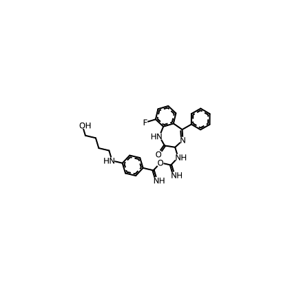 N=C(NC1N=C(c2ccccc2)c2cccc(F)c2NC1=O)OC(=N)c1ccc(NCCCCO)cc1